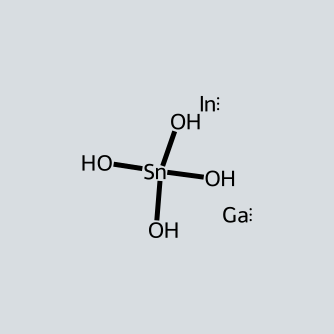 [Ga].[In].[OH][Sn]([OH])([OH])[OH]